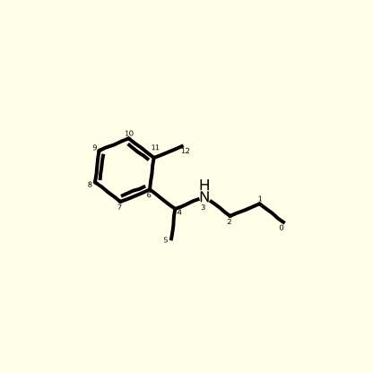 CCCNC(C)c1ccccc1C